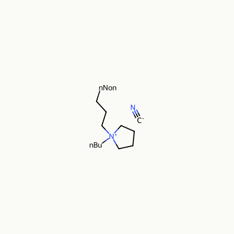 CCCCCCCCCCCC[N+]1(CCCC)CCCC1.[C-]#N